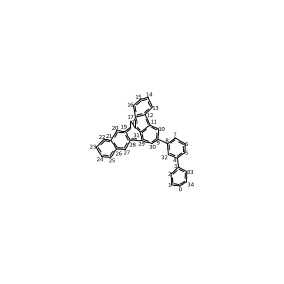 c1ccc(-c2cccc(-c3cc4c5ccccc5n5c6cc7ccccc7cc6c(c3)c45)c2)cc1